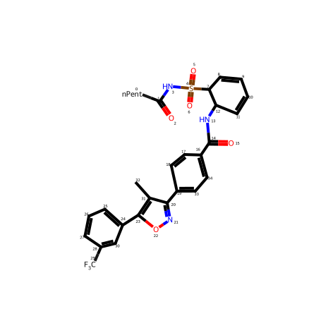 CCCCCC(=O)NS(=O)(=O)C1C=CC=CC1NC(=O)c1ccc(-c2noc(-c3cccc(C(F)(F)F)c3)c2C)cc1